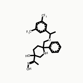 C/C(=N\O)C1(O)CCC(COC(C)c2cc(C(F)(F)F)cc(C(F)(F)F)c2)(c2ccccc2)NC1